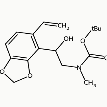 C=Cc1ccc2c(c1C(O)CN(C)C(=O)OC(C)(C)C)OCO2